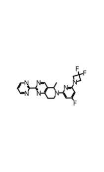 CC1c2cnc(-c3ncccn3)nc2CCN1c1cc(F)cc(N2CC(F)(F)C2)n1